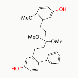 COc1ccc(O)cc1CCC(CCc1cc(O)ccc1-c1ccccc1)(OC)OC